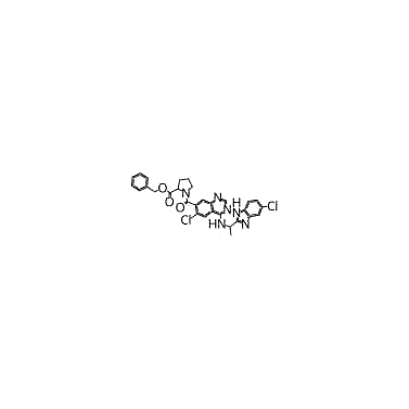 CC(Nc1ncnc2cc(C(=O)N3CCCC3C(=O)OCc3ccccc3)c(Cl)cc12)c1nc2cc(Cl)ccc2[nH]1